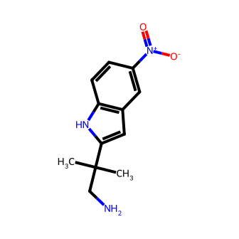 CC(C)(CN)c1cc2cc([N+](=O)[O-])ccc2[nH]1